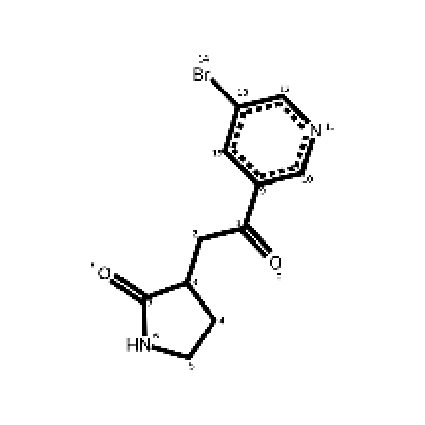 O=C(CC1CCNC1=O)c1cncc(Br)c1